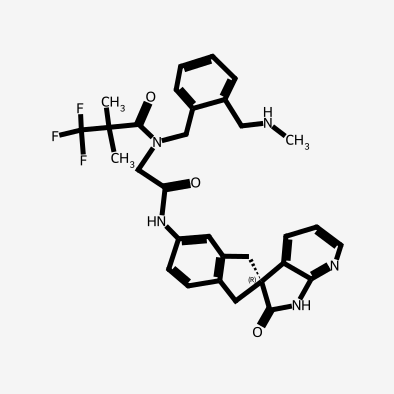 CNCc1ccccc1CN(CC(=O)Nc1ccc2c(c1)C[C@@]1(C2)C(=O)Nc2ncccc21)C(=O)C(C)(C)C(F)(F)F